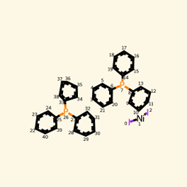 [I][Ni][I].c1ccc(P(c2ccccc2)c2ccccc2)cc1.c1ccc(P(c2ccccc2)c2ccccc2)cc1